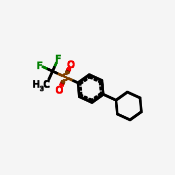 CC(F)(F)S(=O)(=O)c1ccc(C2CCCCC2)cc1